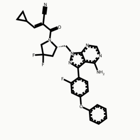 N#C/C(=C\C1CC1)C(=O)N1CC(F)(F)C[C@H]1Cn1nc(-c2ccc(Oc3ccccc3)cc2F)c2c(N)ncnc21